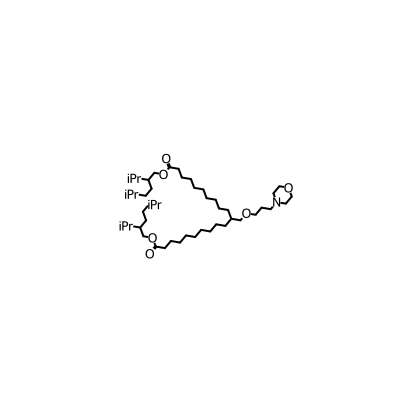 CC(C)CCC(COC(=O)CCCCCCCCCC(CCCCCCCCCC(=O)OCC(CCC(C)C)C(C)C)COCCCN1CCOCC1)C(C)C